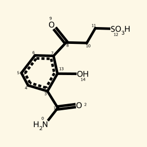 NC(=O)c1cccc(C(=O)CCS(=O)(=O)O)c1O